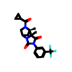 O=C1[C@H]2[C@H]3CC(CN3C(=O)C3CC3)N2C(=O)N1c1cccc(C(F)(F)F)c1